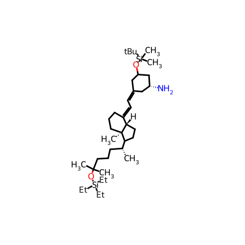 CC[Si](CC)(CC)OC(C)(C)CCC[C@@H](C)C1CC[C@H]2/C(=C/C=C3/CC(O[Si](C)(C)C(C)(C)C)C[C@H](N)C3)CCC[C@]12C